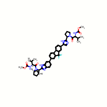 COC(=O)N[C@H](C(=O)N1CCCC1c1ncc(-c2ccc3c(c2)C(F)(F)c2cc(-c4ccc5nc(C6[C@H]7CC[C@H](C7)N6C(=O)[C@@H](NC(=O)OC)C(C)C)[nH]c5c4)ccc2-3)[nH]1)C(C)C